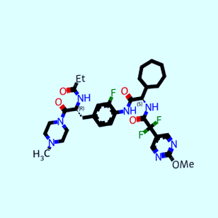 CCC(=O)N[C@H](Cc1ccc(NC(=O)[C@@H](NC(=O)C(F)(F)c2cnc(OC)nc2)C2CCCCCC2)c(F)c1)C(=O)N1CCN(C)CC1